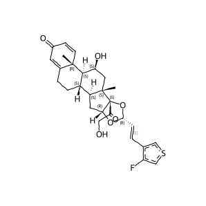 C[C@]12C=CC(=O)C=C1CC[C@@H]1[C@@H]2[C@@H](O)C[C@@]2(C)[C@H]1C[C@H]1O[C@@H](/C=C/c3cscc3F)O[C@]12C(=O)CO